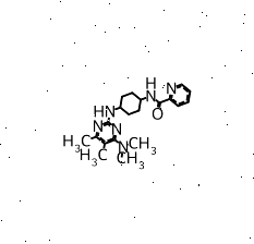 Cc1nc(NC2CCC(NC(=O)c3ccccn3)CC2)nc(N(C)C)c1C